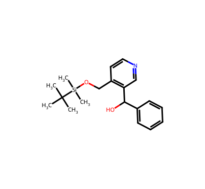 CC(C)(C)[Si](C)(C)OCc1ccncc1C(O)c1ccccc1